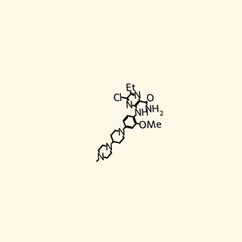 CCc1nc(C(N)=O)c(Nc2ccc(N3CCC(N4CCN(C)CC4)CC3)cc2OC)nc1Cl